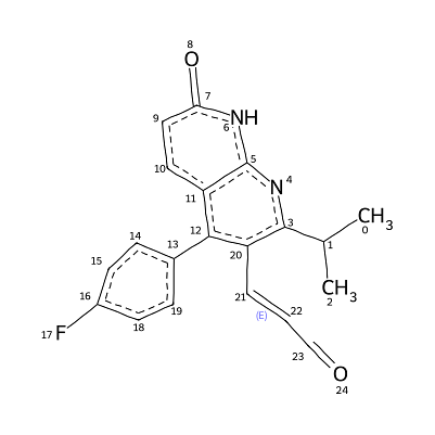 CC(C)c1nc2[nH]c(=O)ccc2c(-c2ccc(F)cc2)c1/C=C/C=O